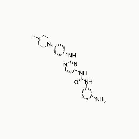 CN1CCN(c2ccc(Nc3nccc(NC(=O)Nc4cccc(N)c4)n3)cc2)CC1